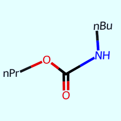 C[CH]CCNC(=O)OCCC